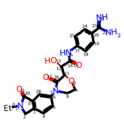 CCN1Cc2ccc(N3CCO[C@H]([C@@H](O)C(=O)Nc4ccc(C(=N)N)cc4)C3=O)cc2C1=O